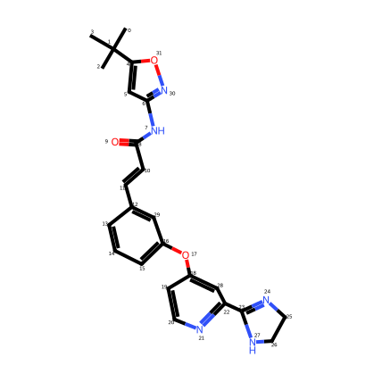 CC(C)(C)c1cc(NC(=O)/C=C/c2cccc(Oc3ccnc(C4=NCCN4)c3)c2)no1